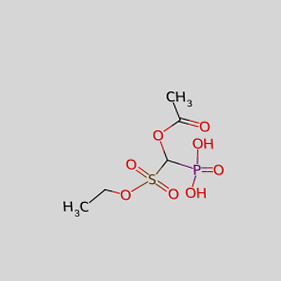 CCOS(=O)(=O)C(OC(C)=O)P(=O)(O)O